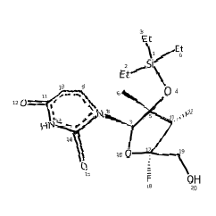 CC[Si](CC)(CC)O[C@@]1(C)[C@H](n2ccc(=O)[nH]c2=O)O[C@](F)(CO)[C@H]1C